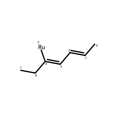 CC=CC=[C]([Ru])CC